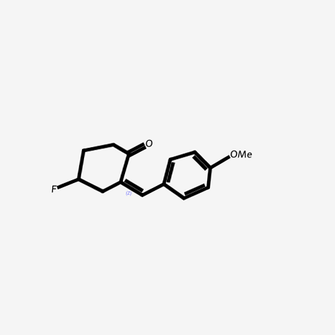 COc1ccc(/C=C2/CC(F)CCC2=O)cc1